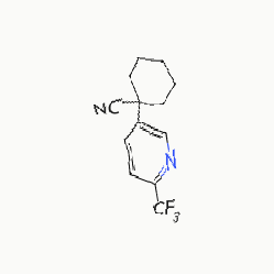 N#CC1(c2ccc(C(F)(F)F)nc2)CCCCC1